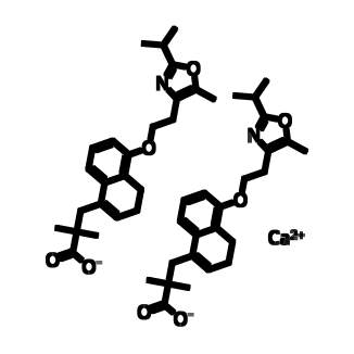 Cc1oc(C(C)C)nc1CCOc1cccc2c1CCC=C2CC(C)(C)C(=O)[O-].Cc1oc(C(C)C)nc1CCOc1cccc2c1CCC=C2CC(C)(C)C(=O)[O-].[Ca+2]